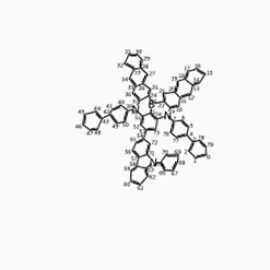 c1ccc(-c2ccc(N3c4cc5cc6ccccc6cc5cc4B4c5cc6cc7ccccc7cc6cc5N(c5ccc(-c6ccccc6)cc5)c5cc(-c6ccc7c8ccccc8n(-c8ccccc8)c7c6)cc3c54)cc2)cc1